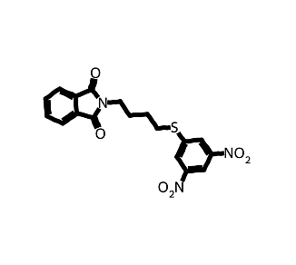 O=C1c2ccccc2C(=O)N1CCCCSc1cc([N+](=O)[O-])cc([N+](=O)[O-])c1